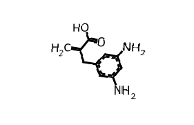 C=C(Cc1cc(N)cc(N)c1)C(=O)O